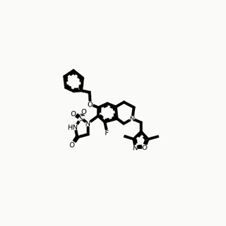 Cc1noc(C)c1CN1CCc2cc(OCc3ccccc3)c(N3CC(=O)NS3(=O)=O)c(F)c2C1